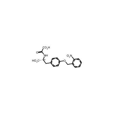 O=C(O)C(=O)N[C@H](Cc1ccc(OCc2ccccc2[N+](=O)[O-])cc1)C(=O)O